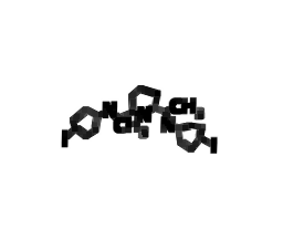 C/C(=N\c1ccc(I)cc1)c1cccc(/C(C)=N/c2ccc(I)cc2)n1